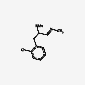 CN=CC(Cc1ccccc1Cl)NC